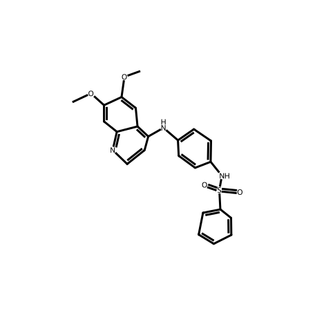 COc1cc2nccc(Nc3ccc(NS(=O)(=O)c4ccccc4)cc3)c2cc1OC